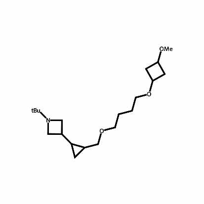 COC1CC(OCCCCOCC2CC2C2CN(C(C)(C)C)C2)C1